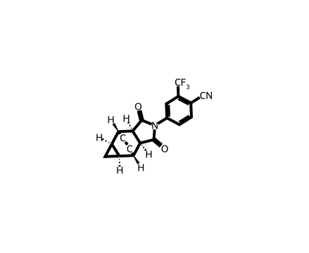 N#Cc1ccc(N2C(=O)[C@@H]3[C@@H]4CC[C@@H]([C@H]5C[C@H]54)[C@@H]3C2=O)cc1C(F)(F)F